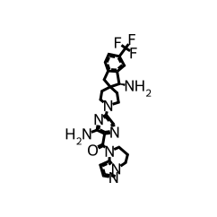 Nc1nc(N2CCC3(CC2)Cc2ccc(C(F)(F)F)cc2[C@H]3N)cnc1C(=O)N1CCCn2nccc21